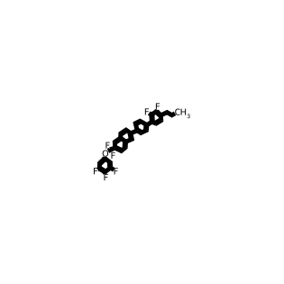 CCCc1ccc(-c2ccc(-c3ccc4cc(C(F)(F)Oc5cc(F)c(F)c(F)c5)ccc4c3)cc2)c(F)c1F